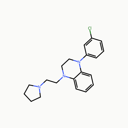 Clc1cccc(N2CCN(CCN3CCCC3)c3ccccc32)c1